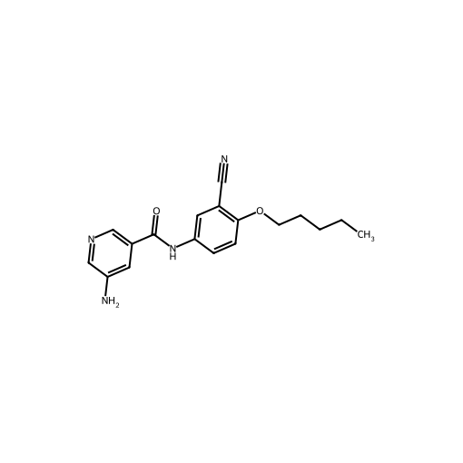 CCCCCOc1ccc(NC(=O)c2cncc(N)c2)cc1C#N